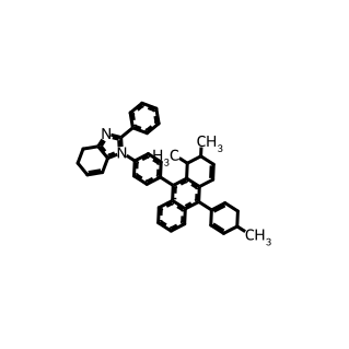 CC1C=CC(c2c3c(c(-c4ccc(-n5c(-c6ccccc6)nc6c5C=CCC6)cc4)c4ccccc24)C(C)C(C)C=C3)=CC1